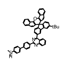 C[SiH](C)c1ccc(-c2ccc(-c3nc(-c4ccc5c(c4)-c4cc(C(C)(C)C)ccc4C54c5ccc6ccccc6c5Oc5c4ccc4ccccc54)c4ccccc4n3)cc2)cc1